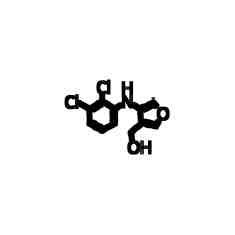 OCc1co[c]c1Nc1cccc(Cl)c1Cl